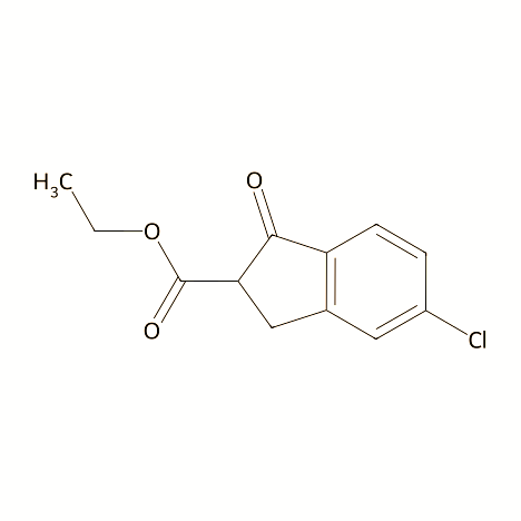 CCOC(=O)C1Cc2cc(Cl)ccc2C1=O